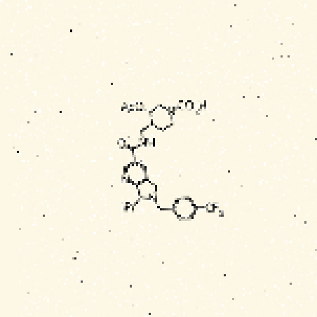 CC(=O)O[C@@H]1CN(C(=O)O)CC[C@H]1CNC(=O)c1cnc2c(c1)CN(Cc1ccc(C(F)(F)F)cc1)[C@H]2C(C)C